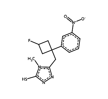 Cn1c(S)nnc1CC1(c2cccc([N+](=O)[O-])c2)CC(F)C1